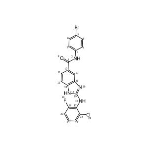 O=C(Nc1ccc(Br)cc1)c1ccc2[nH]c(Nc3c(F)cccc3Cl)nc2c1